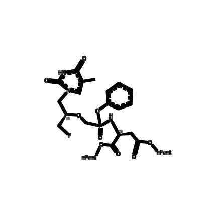 CCCCCOC(=O)C[C@H](NP(=O)(CO[C@@H](CF)Cn1cc(C)c(=O)[nH]c1=O)Oc1ccccc1)C(=O)OCCCCC